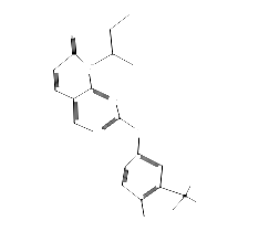 CCC(C)n1c(=O)ccc2cnc(Nc3ccc(F)c(C(F)(F)F)c3)nc21